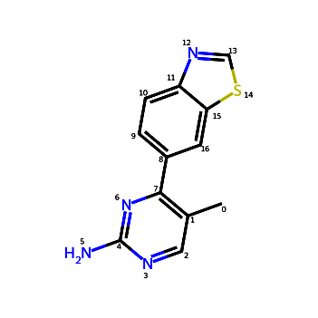 Cc1cnc(N)nc1-c1ccc2ncsc2c1